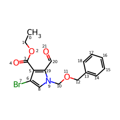 CCOC(=O)c1c(Br)cn(COCc2ccccc2)c1C=O